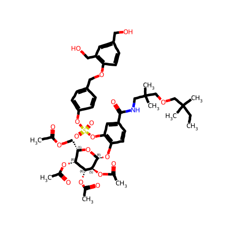 CCC(C)(C)COCC(C)(C)CNC(=O)c1ccc(O[C@H]2O[C@@H](COC(C)=O)[C@@H](OC(C)=O)[C@@H](OC(C)=O)[C@@H]2OC(C)=O)c(OS(=O)(=O)Oc2ccc(COc3ccc(CO)cc3CO)cc2)c1